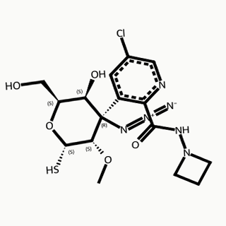 CO[C@@H]1[C@H](S)O[C@@H](CO)[C@@H](O)[C@]1(N=[N+]=[N-])c1cc(Cl)cnc1C(=O)NN1CCC1